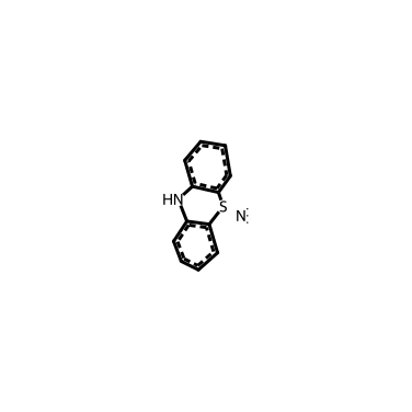 [N].c1ccc2c(c1)Nc1ccccc1S2